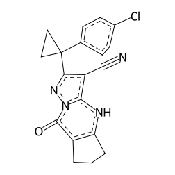 N#Cc1c(C2(c3ccc(Cl)cc3)CC2)nn2c(=O)c3c([nH]c12)CCC3